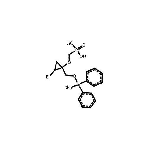 CCC1CC1(CO[Si](c1ccccc1)(c1ccccc1)C(C)(C)C)OCP(=O)(O)O